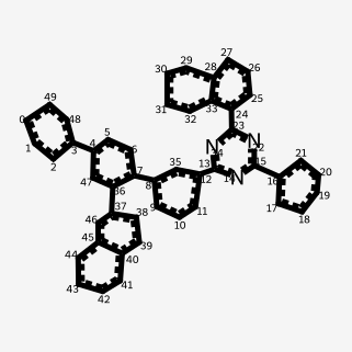 c1ccc(-c2ccc(-c3cccc(-c4nc(-c5ccccc5)nc(-c5cccc6ccccc56)n4)c3)c(-c3ccc4ccccc4c3)c2)cc1